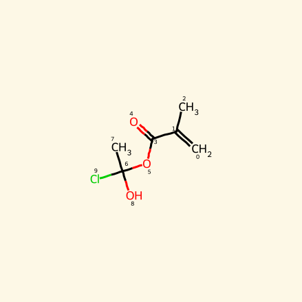 C=C(C)C(=O)OC(C)(O)Cl